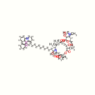 CC[C@H]1OC(=O)[C@H](C)[C@@H](O)C[C@@H](O[C@@H]2O[C@H](C)C[C@H](N(C)C)[C@H]2O)[C@](C)(O)C[C@@H](C)CN(C(=O)CCCCCCCCCCCC[PH](c2ccccc2)(c2ccccc2)c2ccccn2)[C@H](C)[C@@H](O)[C@]1(C)O